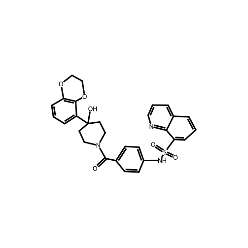 O=C(c1ccc(NS(=O)(=O)c2cccc3cccnc23)cc1)N1CCC(O)(c2cccc3c2OCCO3)CC1